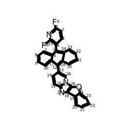 Fc1ccc(-c2c3ccccc3c(-c3ccc4nc5c6ccccc6oc5n4c3)c3ccccc23)c(F)n1